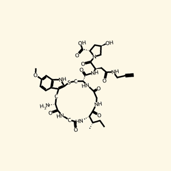 C#CCNC(=O)C[C@@H](NC(=O)[C@H]1CSc2[nH]c3cc(OC)ccc3c2C[C@@H](N)C(=O)NCC(=O)N[C@@H]([C@@H](C)CC)C(=O)NCC(=O)N1)C(=O)N1C[C@H](O)C[C@H]1C(=O)O